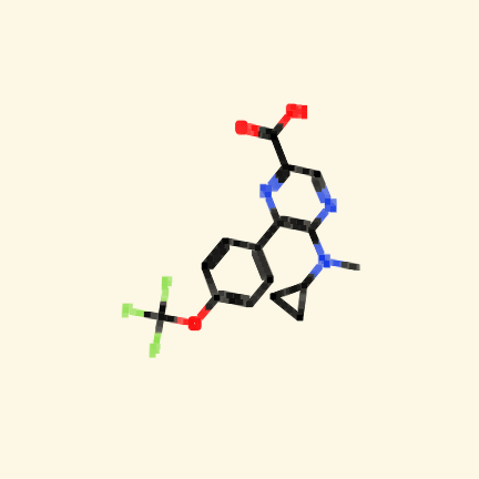 CN(c1ncc(C(=O)O)nc1-c1ccc(OC(F)(F)F)cc1)C1CC1